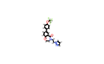 O=C1c2cc(-c3ccc(OC(F)(F)F)cc3)ccc2OCCN1CCn1cccn1